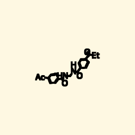 CCC(=O)c1ccc(C(=O)NCNC(=O)c2ccc(C(C)=O)cc2)cc1